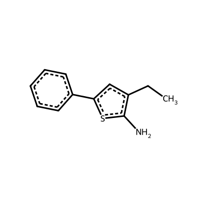 CCc1cc(-c2ccccc2)sc1N